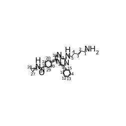 NCC=CCCNc1nc(-c2ccccc2)cn2c(-c3ccc(C(=O)NC4CC4)cc3)cnc12